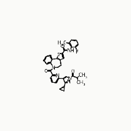 Cc1cccc(F)c1NC(=O)c1cc2c(s1)-c1ccccc1N(C(=O)c1cccc(-c3cn(C(=O)C(C)C)nc3C3CC3)n1)CC2